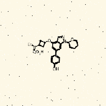 CCN(C(=O)O)[C@H]1C[C@@H](Oc2cc(-c3ccc(O)cc3)cc3c2cnn3C2CCCCO2)C1